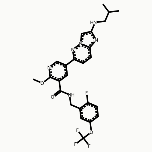 COc1ncc(-c2ccc3nc(NCC(C)C)cn3n2)cc1C(=O)NCc1cc(OC(F)(F)F)ccc1F